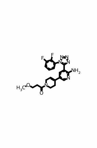 COCCC(=O)N1CC=C(c2cnc(N)c(-c3nnnn3-c3cccc(F)c3F)c2)CC1